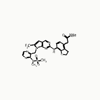 CNC(=O)Cc1ccc(Nc2ncc3cc(C(F)(F)F)n(Cc4nccnc4N(C)S(C)(=O)=O)c3n2)c2c1CCO2